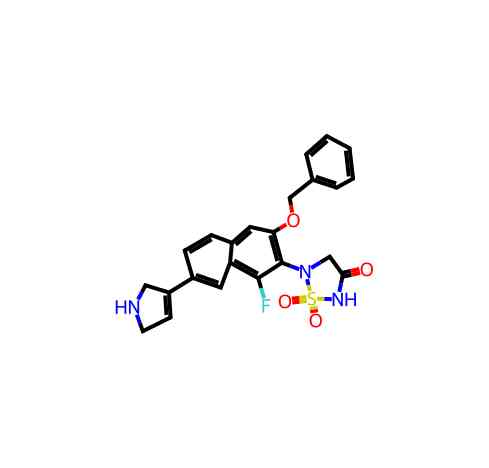 O=C1CN(c2c(OCc3ccccc3)cc3ccc(C4=CCNC4)cc3c2F)S(=O)(=O)N1